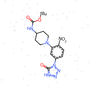 CC(C)(C)OC(=O)NC1CCN(c2cc(-n3nn[nH]c3=O)ccc2[N+](=O)[O-])CC1